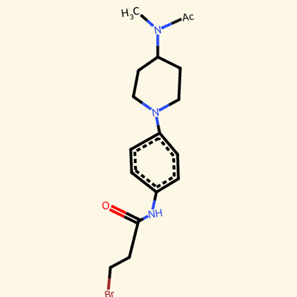 CC(=O)N(C)C1CCN(c2ccc(NC(=O)CCBr)cc2)CC1